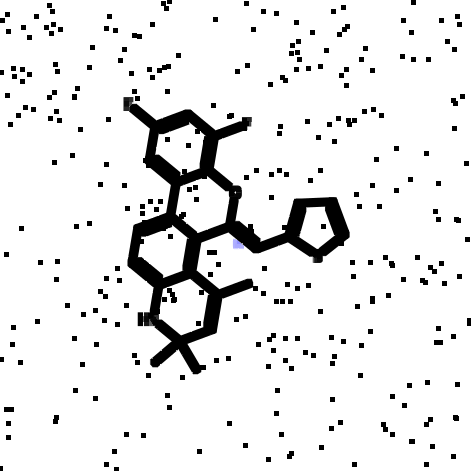 CC1=CC(C)(C)Nc2ccc3c(c21)/C(=C/c1cccs1)Oc1c(F)cc(F)cc1-3